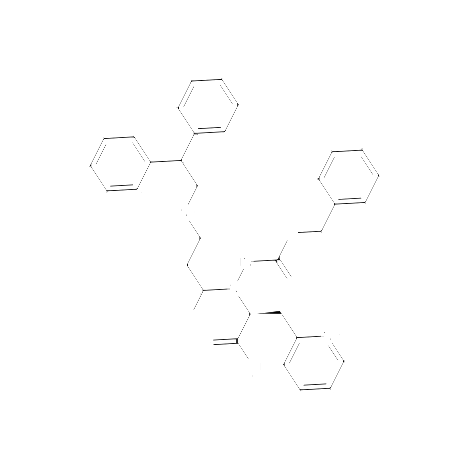 CC(CCNCC(c1ccccc1)c1ccccc1)N(NC(=O)OCc1ccccc1)[C@@H](Cc1ccccn1)C(=O)O